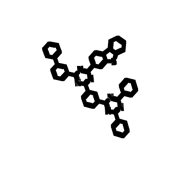 c1ccc(-c2cccc(-c3nc(-c4cccc(-c5nc(-c6ccccc6)nc(-c6ccccc6)n5)c4)nc(-c4ccc5c(c4)sc4ccccc45)n3)c2)cc1